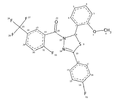 COc1ccccc1C1SC(c2ccc(F)cc2)=NN1C(=O)c1cc(C(F)(F)F)ccc1F